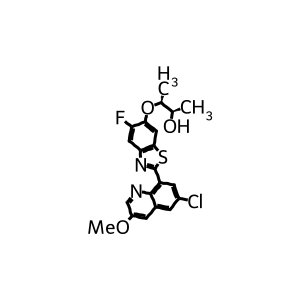 COc1cnc2c(-c3nc4cc(F)c(O[C@@H](C)[C@@H](C)O)cc4s3)cc(Cl)cc2c1